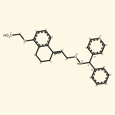 O=C(O)COc1cccc2c1CCCC2=CCONC(c1ccccc1)c1ccncc1